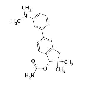 CN(C)c1cccc(-c2ccc3c(c2)CC(C)(C)C3OC(N)=O)c1